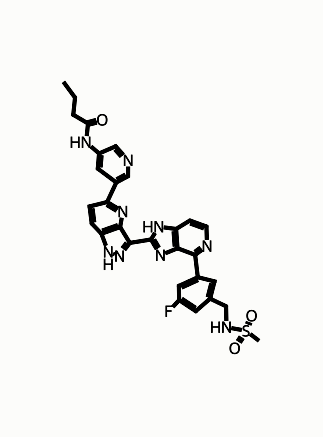 CCCC(=O)Nc1cncc(-c2ccc3[nH]nc(-c4nc5c(-c6cc(F)cc(CNS(C)(=O)=O)c6)nccc5[nH]4)c3n2)c1